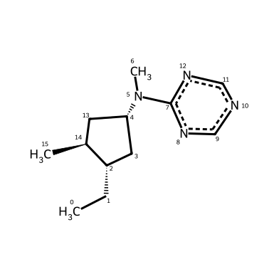 CC[C@H]1C[C@@H](N(C)c2ncncn2)C[C@@H]1C